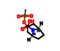 CS(=O)(=O)OC1C[C@H]2CC[C@@H](C1)N2C(=O)O